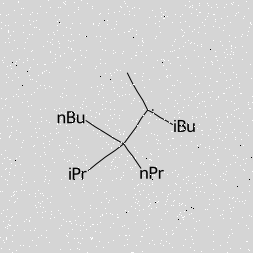 CCCCC(CCC)([C](C)C(C)CC)C(C)C